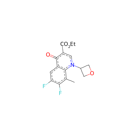 CCOC(=O)c1cn(C2COC2)c2c(C)c(F)c(F)cc2c1=O